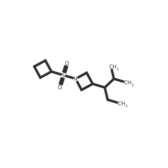 CCC(C(C)C)C1CN(S(=O)(=O)C2CCC2)C1